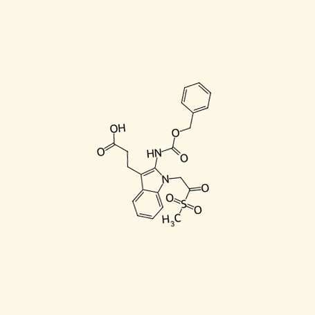 CS(=O)(=O)C(=O)Cn1c(NC(=O)OCc2ccccc2)c(CCC(=O)O)c2ccccc21